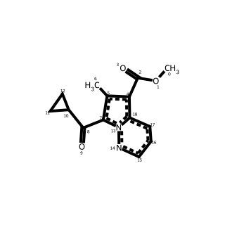 COC(=O)c1c(C)c(C(=O)C2CC2)n2ncccc12